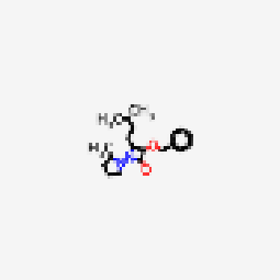 CC(C)CCC1C(OCc2ccccc2)C(=O)N1N1CCCC1C